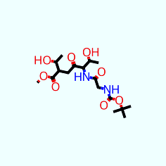 COC(=O)C(CC(=O)C(NC(=O)CNC(=O)OC(C)(C)C)C(C)O)C(C)O